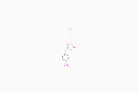 CC1(C)C(=O)N(COCC[Si](C)(C)C)C(=O)N1Cc1ccc([N+](=O)[O-])cc1